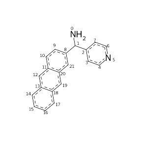 NC(c1ccncc1)c1ccc2cc3ccccc3cc2c1